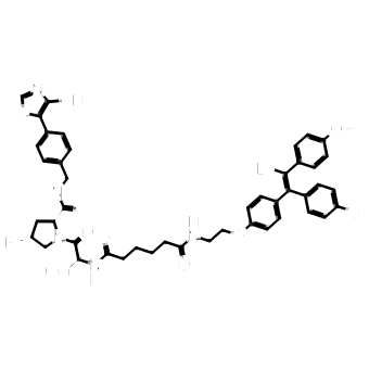 CCC(=C(c1ccc(O)cc1)c1ccc(OCCNC(=O)CCCCC(=O)N[C@H](C(=O)N2C[C@H](O)C[C@H]2C(=O)NCc2ccc(-c3scnc3C)cc2)C(C)(C)C)cc1)c1ccc(O)cc1